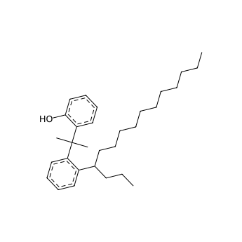 CCCCCCCCCCCC(CCC)c1ccccc1C(C)(C)c1ccccc1O